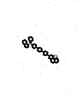 c1ccc(N(c2ccc(-c3ccc(-c4ccc(-c5cc6ccc7cccc8oc(c5)c6c78)cc4)cc3)cc2)c2cccc3ccccc23)cc1